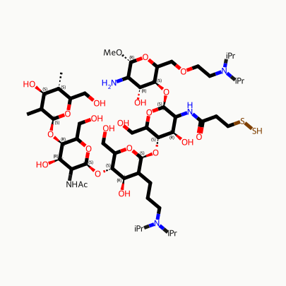 CO[C@@H]1OC(COCCN(C(C)C)C(C)C)[C@@H](O[C@@H]2OC(CO)[C@@H](O[C@@H]3OC(CO)[C@@H](O[C@@H]4OC(CO)[C@H](O[C@@H]5OC(CO)[C@@H](C)[C@H](O)C5C)[C@H](O)C4NC(C)=O)[C@H](O)C3CCCN(C(C)C)C(C)C)[C@H](O)C2NC(=O)CCSS)[C@H](O)C1N